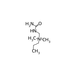 CCC[N+](C)(C)CNC(N)=O